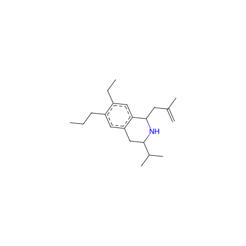 C=C(C)CC1NC(C(C)C)Cc2cc(CCC)c(CC)cc21